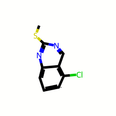 CSc1ncc2c(Cl)[c]ccc2n1